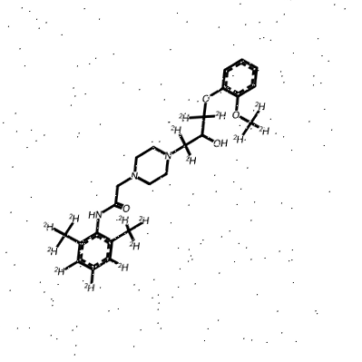 [2H]c1c([2H])c(C([2H])([2H])[2H])c(NC(=O)CN2CCN(C([2H])([2H])C(O)C([2H])([2H])Oc3ccccc3OC([2H])([2H])[2H])CC2)c(C([2H])([2H])[2H])c1[2H]